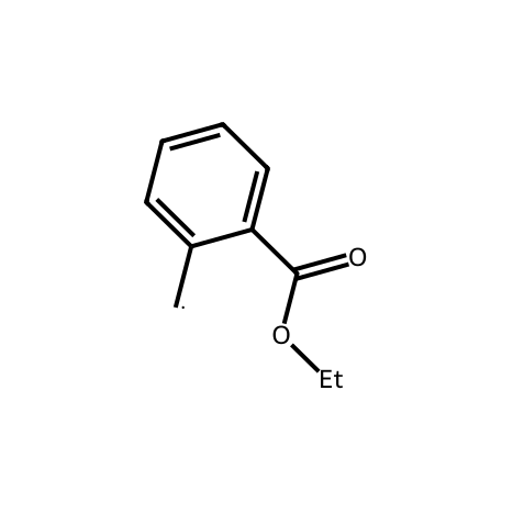 [CH2]c1ccccc1C(=O)OCC